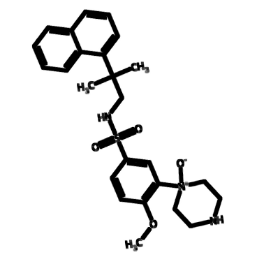 COc1ccc(S(=O)(=O)NCC(C)(C)c2cccc3ccccc23)cc1[N+]1([O-])CCNCC1